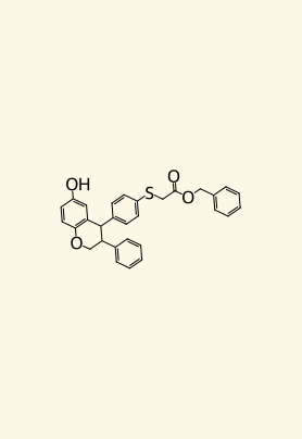 O=C(CSc1ccc(C2c3cc(O)ccc3OCC2c2ccccc2)cc1)OCc1ccccc1